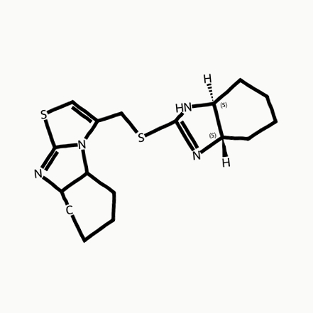 C1=C(CSC2=N[C@H]3CCCC[C@@H]3N2)N2C(=NC3CCCCC32)S1